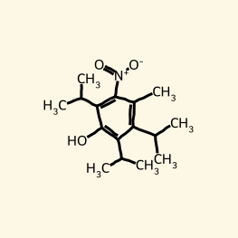 Cc1c(C(C)C)c(C(C)C)c(O)c(C(C)C)c1[N+](=O)[O-]